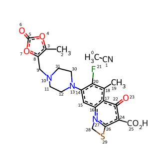 CC#N.Cc1oc(=O)oc1CN1CCN(c2cc3c(c(C)c2F)c(=O)c(C(=O)O)c2n3CS2)CC1